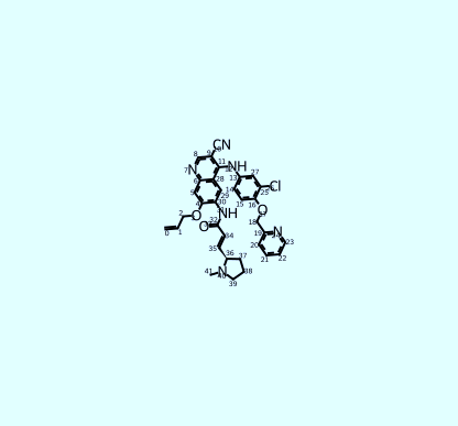 C=CCOc1cc2ncc(C#N)c(Nc3ccc(OCc4ccccn4)c(Cl)c3)c2cc1NC(=O)/C=C/[C@H]1CCCN1C